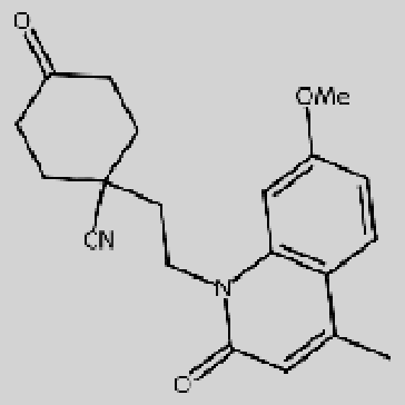 COc1ccc2c(C)cc(=O)n(CCC3(C#N)CCC(=O)CC3)c2c1